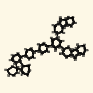 c1ccc2c(c1)-c1c(-c3ccc(-c4ccc(-c5nc(-c6ccc7oc8ccccc8c7c6)nc(-c6ccc7oc8ccccc8c7c6)n5)cc4)cc3)cccc1C21CCCCC1